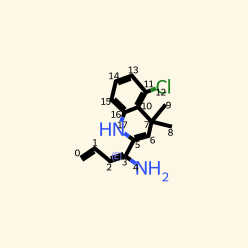 C=C/C=C(/N)C1=CC(C)(C)c2c(Cl)cccc2N1